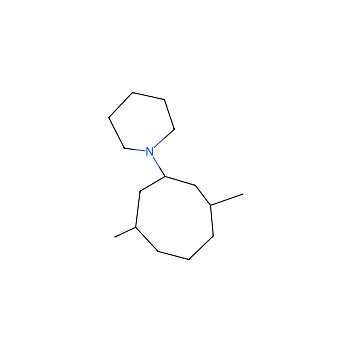 CC1CCCC(C)CC(N2CCCCC2)C1